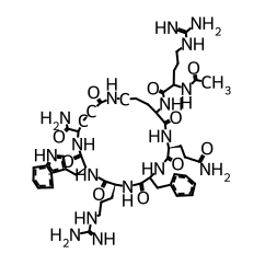 CC(=O)NC(CCCNC(=N)N)C(=O)NC1CCCNC(=O)CCC(C(N)=O)NC(=O)[C@H](Cc2c[nH]c3ccccc23)NC(=O)[C@H](CCCNC(=N)N)NC(=O)C(Cc2ccccc2)NC(=O)[C@H](CCC(N)=O)NC1=O